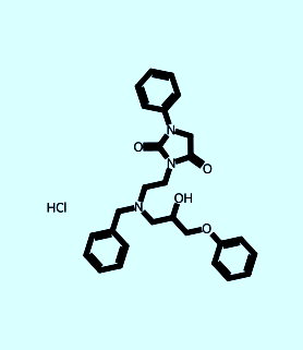 Cl.O=C1CN(c2ccccc2)C(=O)N1CCN(Cc1ccccc1)CC(O)COc1ccccc1